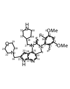 COc1cc(OC)c(F)c(N2Cc3cnc4[nH]c(CN5CCOCC5)cc4c3N(CC3CCNCC3)C2=S)c1F